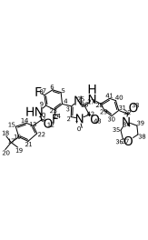 Cn1cc(-c2ccc(F)c(NC(=O)c3ccc(C(C)(C)C)cc3)c2F)nc(Nc2ccc(C(=O)N3CCOCC3)cc2)c1=O